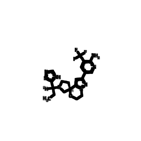 [2H]C(CC)(c1nnc[nH]1)N1CC[C@]2(C1)OCCn1nc(-c3cnc(N)c(C(F)(F)F)c3)cc12